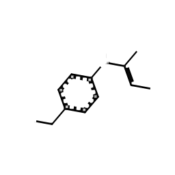 CC=C(C)[SiH2]c1ccc(CO)cc1